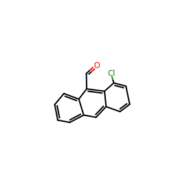 O=Cc1c2ccccc2cc2cccc(Cl)c12